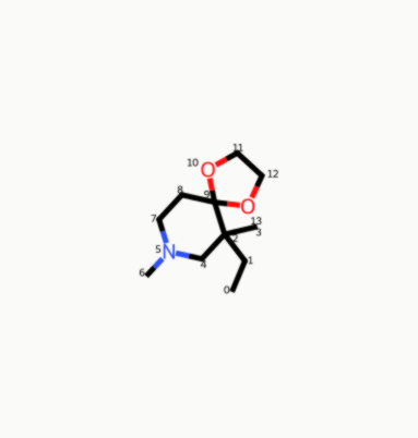 CCC1(C)CN(C)CCC12OCCO2